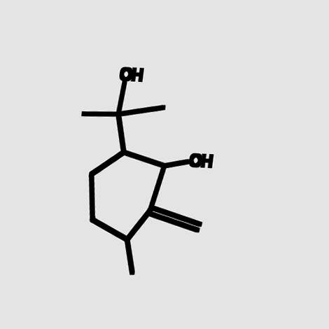 C=C1C(C)CCC(C(C)(C)O)C1O